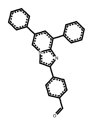 O=Cc1ccc(-c2cn3cc(-c4ccccc4)cc(-c4ccccc4)c3n2)cc1